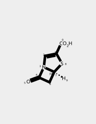 O=C(O)C1=CN2C(=O)C[C@@H]2S1